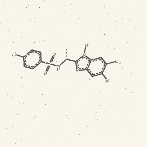 CCn1c([C@@H](C)NS(=O)(=O)c2ccc(Cl)cc2)nc2cc(Br)c(C(F)(F)F)cc21